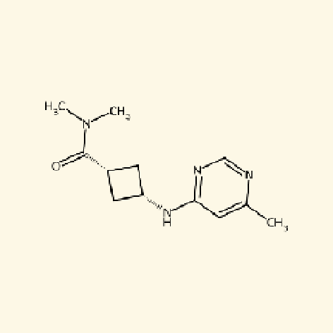 Cc1cc(N[C@H]2C[C@@H](C(=O)N(C)C)C2)ncn1